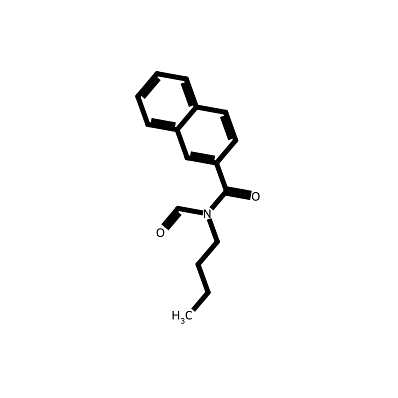 CCCCN(C=O)C(=O)c1ccc2ccccc2c1